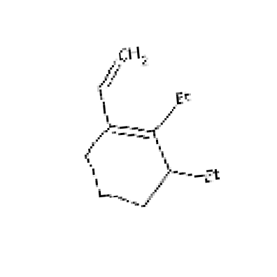 C=CC1=C(CC)C(CC)CCC1